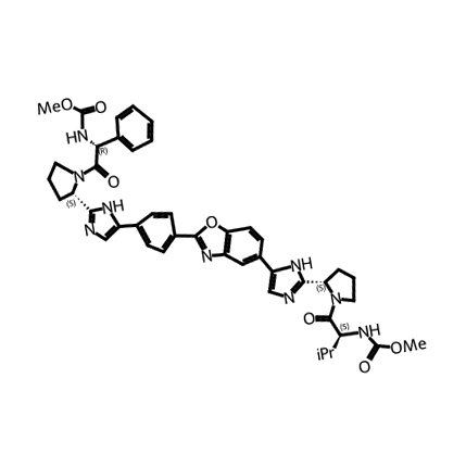 COC(=O)N[C@H](C(=O)N1CCC[C@H]1c1ncc(-c2ccc3oc(-c4ccc(-c5cnc([C@@H]6CCCN6C(=O)[C@H](NC(=O)OC)c6ccccc6)[nH]5)cc4)nc3c2)[nH]1)C(C)C